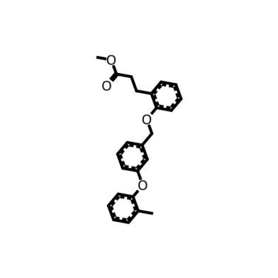 COC(=O)CCc1ccccc1OCc1cccc(Oc2ccccc2C)c1